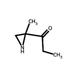 CCC(=O)C1(C)CN1